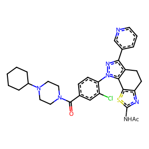 CC(=O)Nc1nc2c(s1)-c1c(c(-c3cccnc3)nn1-c1ccc(C(=O)N3CCN(C4CCCCC4)CC3)cc1Cl)CC2